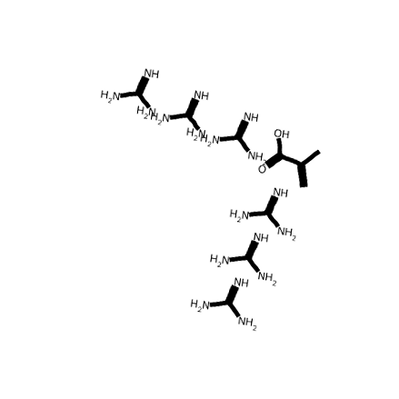 C=C(C)C(=O)O.N=C(N)N.N=C(N)N.N=C(N)N.N=C(N)N.N=C(N)N.N=C(N)N